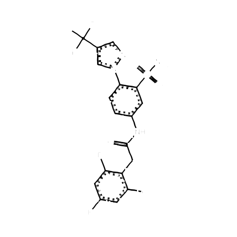 NS(=O)(=O)c1cc(NC(=O)Cc2c(F)cc(F)cc2Cl)ccc1-n1cc(C(F)(F)F)cn1